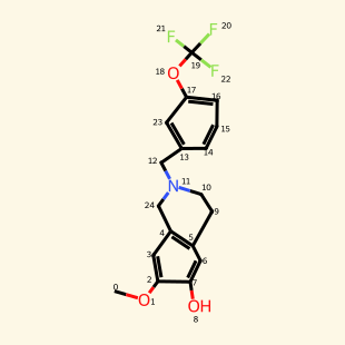 COc1cc2c(cc1O)CCN(Cc1cccc(OC(F)(F)F)c1)C2